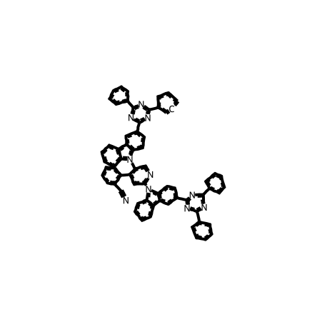 N#Cc1ccccc1-c1cc(-n2c3ccccc3c3cc(-c4nc(-c5ccccc5)nc(-c5ccccc5)n4)ccc32)ncc1-n1c2ccccc2c2cc(-c3nc(-c4ccccc4)nc(-c4ccccc4)n3)ccc21